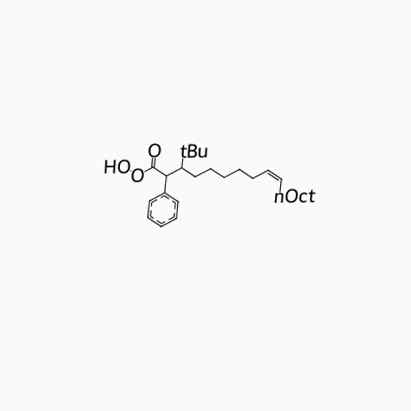 CCCCCCCC/C=C\CCCCCC(C(C(=O)OO)c1ccccc1)C(C)(C)C